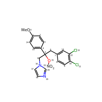 COc1ccc(C(Cc2ccc(Cl)c(Cl)c2)(Cn2ccnc2)O[N+](=O)[O-])cc1